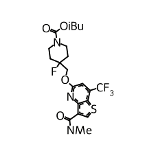 CNC(=O)c1csc2c(C(F)(F)F)cc(OCC3(F)CCN(C(=O)OCC(C)C)CC3)nc12